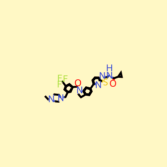 CCN1CCN(Cc2cc(C(=O)N3CCc4ccc(-c5ccc6nc(NC(=O)C7CC7)sc6n5)cc43)cc(C(F)(F)F)c2)CC1